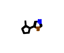 C[C]1CCCC1c1cncs1